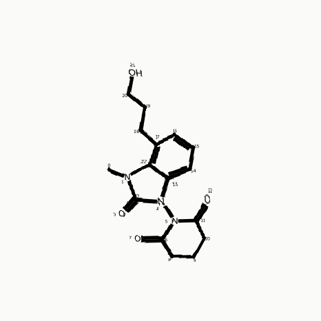 Cn1c(=O)n(N2C(=O)CCCC2=O)c2cccc(CCCO)c21